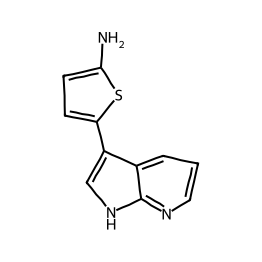 Nc1ccc(-c2c[nH]c3ncccc23)s1